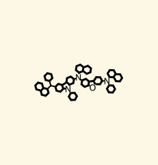 c1ccc(C(c2ccc3c(c2)c2ccc(N(c4ccc5oc6cc(N(c7ccccc7)c7cccc8ccccc78)ccc6c5c4)c4cccc5ccccc45)cc2n3-c2ccccc2)c2cccc3ccccc23)cc1